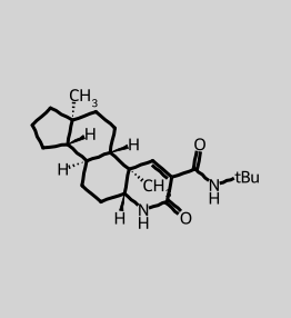 CC(C)(C)NC(=O)C1=C[C@@]2(C)[C@@H](CC[C@H]3[C@@H]4CCC[C@@]4(C)CC[C@@H]32)NC1=O